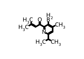 Bc1c(C)cc(C(C)C)nc1C(=O)C=C(C)C